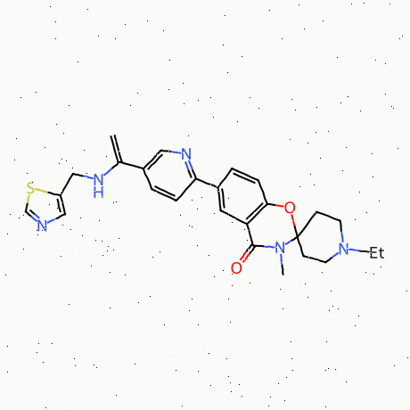 C=C(NCc1cncs1)c1ccc(-c2ccc3c(c2)C(=O)N(C)C2(CCN(CC)CC2)O3)nc1